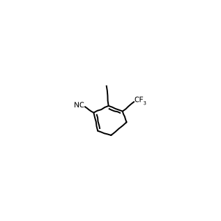 CC1=C(C(F)(F)F)CCC=C1C#N